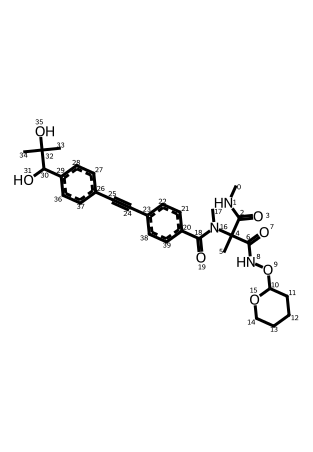 CNC(=O)C(C)(C(=O)NOC1CCCCO1)N(C)C(=O)c1ccc(C#Cc2ccc(C(O)C(C)(C)O)cc2)cc1